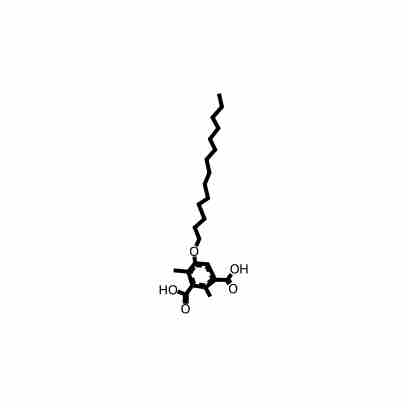 CCCCCCCCCCCCCCOc1cc(C(=O)O)c(C)c(C(=O)O)c1C